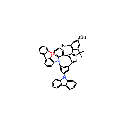 CC(C)(C)c1cc(C(C)(C)C)c2c(c1)C(C)(C)c1cc3cc(c1-2)c1ccccc1n(-c1cccc2c1oc1ccccc12)c1cc(-n2c4ccccc4c4ccccc42)cc3c1